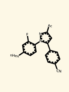 CCCCCCc1ccc(-n2nc(C(C)=O)cc2-c2ccc(C#N)cc2)c(F)c1